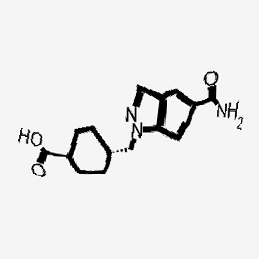 NC(=O)c1ccc2c(cnn2C[C@H]2CC[C@H](C(=O)O)CC2)c1